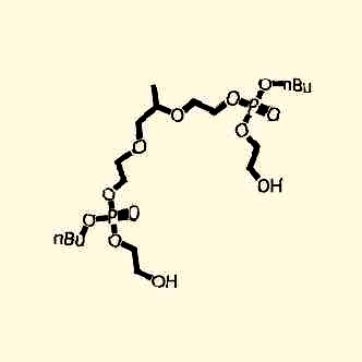 CCCCOP(=O)(OCCO)OCCOCC(C)OCCOP(=O)(OCCO)OCCCC